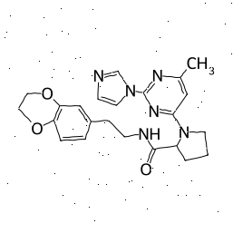 Cc1cc(N2CCCC2C(=O)NCCc2ccc3c(c2)OCCO3)nc(-n2ccnc2)n1